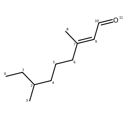 CCC(C)CCC/C(C)=C/C=O